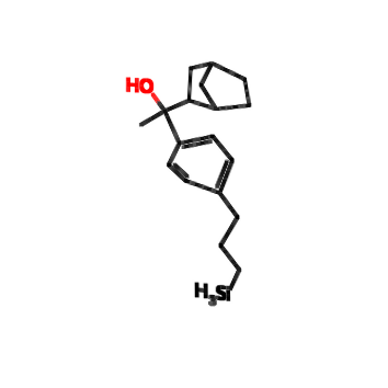 CC(O)(c1ccc(CCC[SiH3])cc1)C1CC2CCC1C2